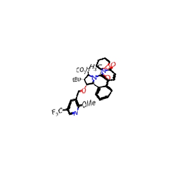 COc1ncc(C(F)(F)F)cc1CO[C@H]1[C@H](C(C)(C)C)[C@@H](C(=O)O)N(C(=O)[C@@H]2CCCCO2)[C@H]1c1ccccc1-c1ccc(=O)n(C)c1